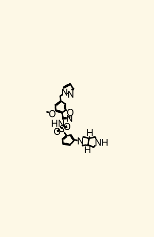 COc1cc(Cn2cccn2)cc2onc(NS(=O)(=O)c3cccc(N4C[C@@H]5CNC[C@H]5C4)c3)c12